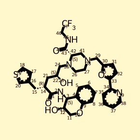 O=C(N[C@H]1c2ccccc2OC[C@H]1O)[C@H](Cc1ccsc1)C[C@H](O)CN1CCN(Cc2ccc(-c3ccccn3)o2)C[C@H]1C(=O)NCC(F)(F)F